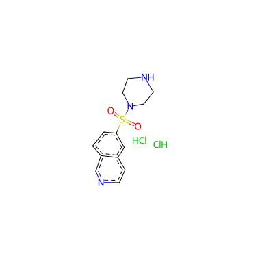 Cl.Cl.O=S(=O)(c1ccc2cnccc2c1)N1CCNCC1